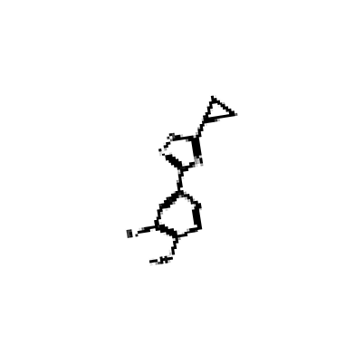 CCc1cc(-c2noc(C3CC3)n2)ccc1NC(C)=O